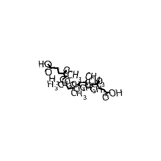 CC(CC(C)(C)OC(C)(C)CC(C)OC(C)(C)C(=O)CCC(=O)O)OC(C)(C)C(=O)CCC(=O)O